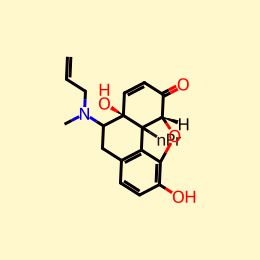 C=CCN(C)C1Cc2ccc(O)c3c2C2(CCC)[C@@H](O3)C(=O)C=C[C@@]12O